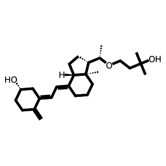 C=C1CC[C@H](O)CC1=CC=C1CCC[C@]2(C)[C@@H]([C@H](C)OCCC(C)(C)O)CC[C@@H]12